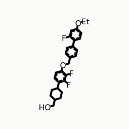 CCOc1ccc(-c2ccc(COc3ccc(C4CCC(CO)CC4)c(F)c3F)cc2)c(F)c1